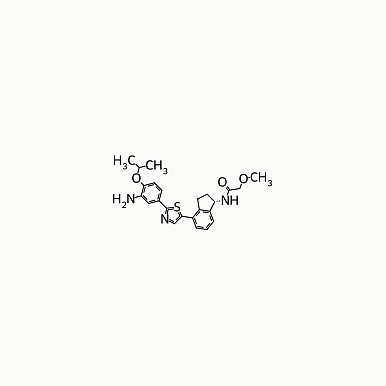 COCC(=O)N[C@H]1CCc2c(-c3cnc(-c4ccc(OC(C)C)c(N)c4)s3)cccc21